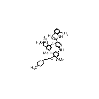 COc1cc(Nc2ncc(C(=O)Nc3c(C)cccc3C)c(Oc3cccc4c3OC(C)(C)C4)n2)cc(OC)c1OCCCN1CCN(C)CC1